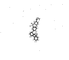 CC(C)c1ccc2c(c1)C(C)(C)c1cc(-c3cccc4c3oc3ccccc34)ccc1-2